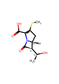 CSC1=C(C(=O)O)N2C(=O)[C@H]([C@H](C)O)[C@H]2C1